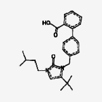 CC(C)CCn1cc(C(C)(C)C)n(Cc2ccc(-c3ccccc3C(=O)O)cc2)c1=O